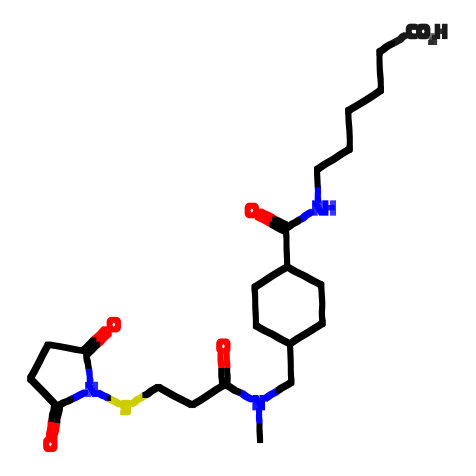 CN(CC1CCC(C(=O)NCCCCCC(=O)O)CC1)C(=O)CCSN1C(=O)CCC1=O